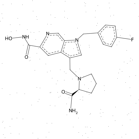 NC(=O)[C@@H]1CCCN1Cc1cn(Cc2ccc(F)cc2)c2cnc(C(=O)NO)cc12